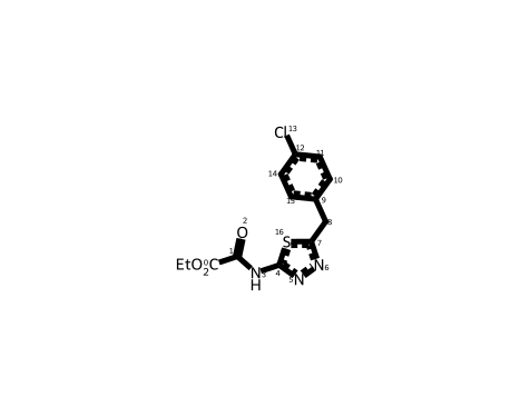 CCOC(=O)C(=O)Nc1nnc(Cc2ccc(Cl)cc2)s1